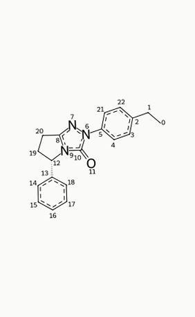 CCc1ccc(-n2nc3n(c2=O)[C@H](c2ccccc2)CC3)cc1